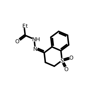 CCC(=O)N/N=C1/CCS(=O)(=O)c2ccccc21